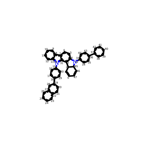 C1=CC2c3c(ccc4c5ccccc5n(-c5ccc(-c6ccc7ccccc7c6)cc5)c34)N(c3ccc(-c4ccccc4)cc3)C2C=C1